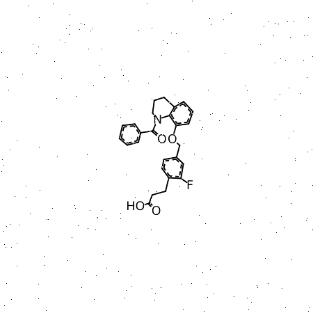 O=C(O)CCc1ccc(COc2cccc3c2N(C(=O)c2ccccc2)CCC3)cc1F